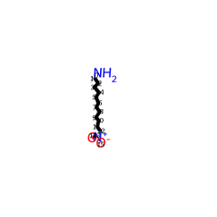 NCCCCCCCCCCCC[N+](=O)[O-]